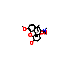 CCC[C@@]12c3c4ccc(OC)c3OC1C(=O)CCC2(O)C(N(C)C)C4